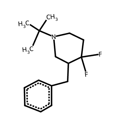 CC(C)(C)N1CCC(F)(F)C(Cc2ccccc2)C1